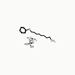 C=C.CCCCCCCCCOc1ccccc1.O=P(O)(O)O